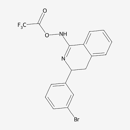 O=C(ONC1=NC(c2cccc(Br)c2)Cc2ccccc21)C(F)(F)F